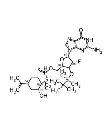 C=C(C)[C@H]1CC[C@@](C)(S[PH](=S)OC[C@H]2O[C@@H](n3cnc4c(=O)[nH]c(N)nc43)[C@H](F)C2O[Si](C)(C)C(C)(C)C)[C@H](O)C1